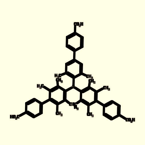 Cc1cc(-c2ccc(C(=O)O)cc2)cc(C)c1B(c1c(C)c(C)c(-c2ccc(C(=O)O)cc2)c(C)c1C)c1c(C)c(C)c(-c2ccc(C(=O)O)cc2)c(C)c1C